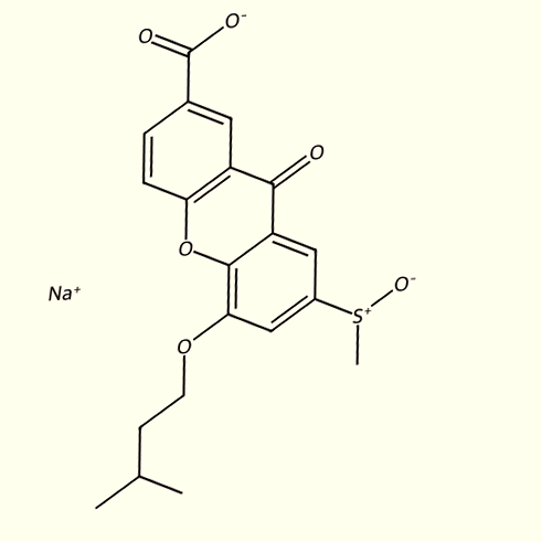 CC(C)CCOc1cc([S+](C)[O-])cc2c(=O)c3cc(C(=O)[O-])ccc3oc12.[Na+]